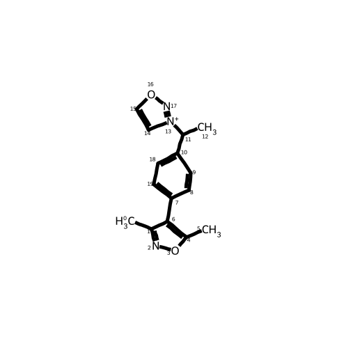 Cc1noc(C)c1-c1ccc(C(C)[n+]2ccon2)cc1